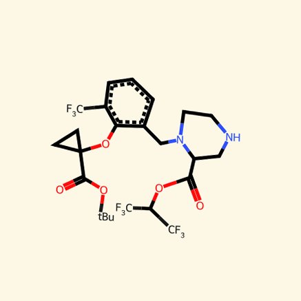 CC(C)(C)OC(=O)C1(Oc2c(CN3CCNCC3C(=O)OC(C(F)(F)F)C(F)(F)F)cccc2C(F)(F)F)CC1